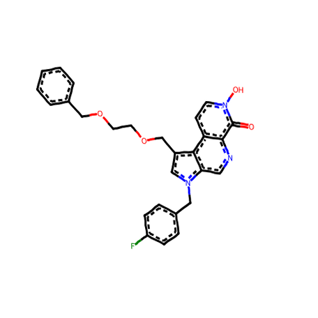 O=c1c2ncc3c(c(COCCOCc4ccccc4)cn3Cc3ccc(F)cc3)c2ccn1O